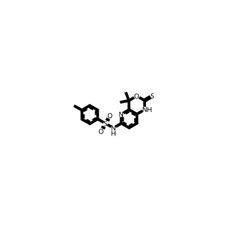 Cc1ccc(S(=O)(=O)Nc2ccc3c(n2)C(C)(C)OC(=S)N3)cc1